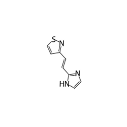 C(=C\c1ncc[nH]1)/c1ccsn1